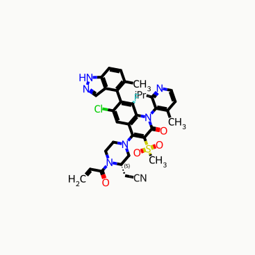 C=CC(=O)N1CCN(c2c(S(C)(=O)=O)c(=O)n(-c3c(C)ccnc3C(C)C)c3c(F)c(-c4c(C)ccc5[nH]ncc45)c(Cl)cc23)C[C@@H]1CC#N